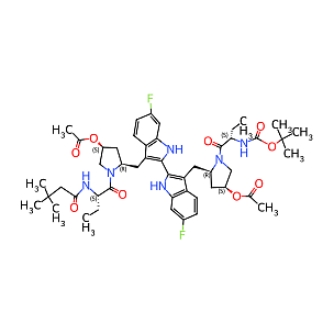 CC[C@H](NC(=O)CC(C)(C)C)C(=O)N1C[C@@H](OC(C)=O)C[C@H]1Cc1c(-c2[nH]c3cc(F)ccc3c2C[C@@H]2C[C@H](OC(C)=O)CN2C(=O)[C@H](CC)NC(=O)OC(C)(C)C)[nH]c2cc(F)ccc12